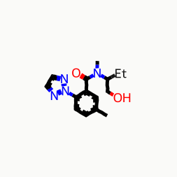 CCC(CO)N(C)C(=O)c1cc(C)ccc1-n1nccn1